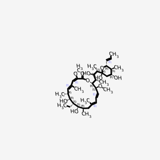 C/C=C/[C@H]1O[C@@](O)([C@@H](C)[C@H](O)[C@H](C)[C@H]2OC(=O)/C(OC)=C\C(C)=C\[C@@H](C)[C@@H](O)[C@@H](CC)[C@@H](O)[C@H](C)C/C(C)=C/C=C/[C@@H]2OC)C[C@@H](O)[C@@H]1C